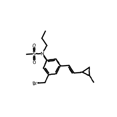 CCCN(c1cc(C=CC2CC2C)cc(CBr)c1)S(C)(=O)=O